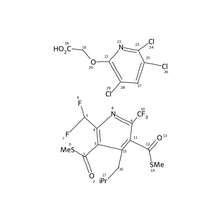 CSC(=O)c1c(C(F)F)nc(C(F)(F)F)c(C(=O)SC)c1CC(C)C.O=C(O)COc1nc(Cl)c(Cl)cc1Cl